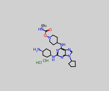 CC(C)(C)NC(=O)ON1CCC(Nc2nc(N[C@H]3CC[C@H](N)CC3)nc3c2ncn3C2CCCC2)CC1.Cl.Cl